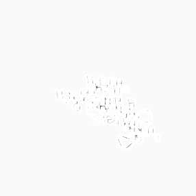 CN(CC1(NC(=O)N[C@H](C(=O)N2C[C@H]3[C@@H]([C@H]2C(=O)NC(CC2CC2)C(=O)C(N)=O)C3(C)C)C(C)(C)C)CCCCC1)S(=O)(=O)c1ccccc1